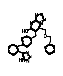 Oc1nc2ncnn2c(COCc2ccccc2)c1Cc1ccc(-c2ccccc2-c2nnn[nH]2)cc1